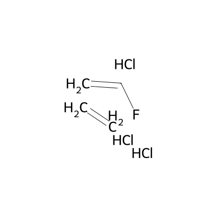 C=C.C=CF.Cl.Cl.Cl